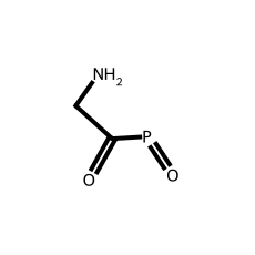 NCC(=O)P=O